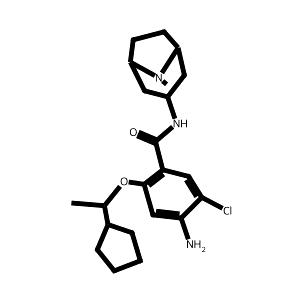 CC(Oc1cc(N)c(Cl)cc1C(=O)NC1CC2CCC(C1)N2C)C1CCCC1